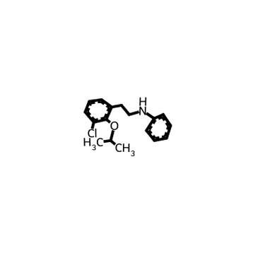 CC(C)Oc1c(Cl)cccc1CCNc1ccccc1